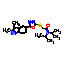 Cc1[nH]c2ccc(-c3nnc(SCC(=O)N(C(C)C)C(C)C)o3)cc2c1C